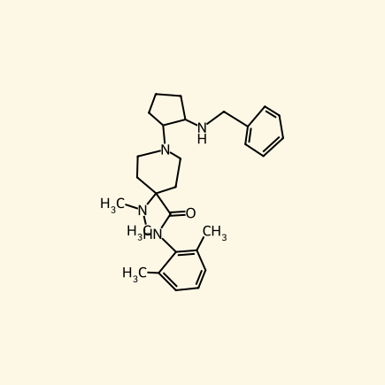 Cc1cccc(C)c1NC(=O)C1(N(C)C)CCN(C2CCCC2NCc2ccccc2)CC1